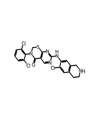 O=C1c2cnc(Nc3cc4c(cc3Cl)CCNC4)nc2SCN1c1c(Cl)cccc1Cl